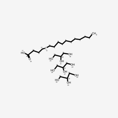 CCCCCCCCCCCCCCCC(=O)O.OCC(O)CO.OCC(O)CO.OCC(O)CO